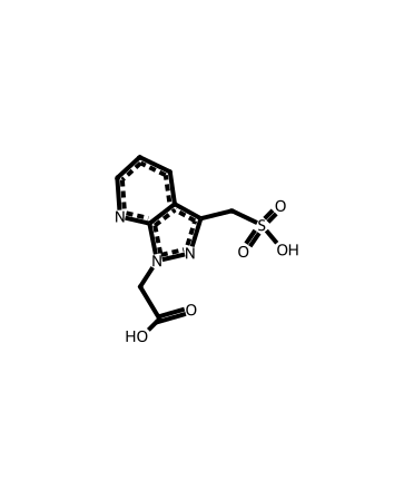 O=C(O)Cn1nc(CS(=O)(=O)O)c2cccnc21